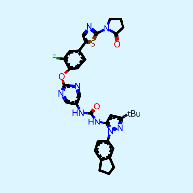 CC(C)(C)c1cc(NC(=O)Nc2cnc(Oc3ccc(-c4cnc(N5CCCC5=O)s4)cc3F)nc2)n(-c2ccc3c(c2)CCC3)n1